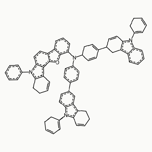 C1=CCCC(n2c3c(c4cc(-c5ccc(N(c6cccc7c6oc6c7ccc7c6c6c(n7-c7ccccc7)CCC=C6)C6C=CC(C7C=Cc8c(c9ccccc9n8C8=CC=CCC8)C7)=CC6)cc5)ccc42)CCC=C3)=C1